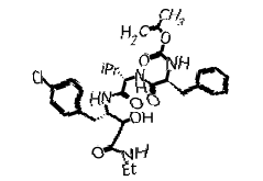 C=C(C)OC(=O)N[C@@H](Cc1ccccc1)C(=O)N[C@H](C(=O)N[C@@H](Cc1ccc(Cl)cc1)C(O)C(=O)NCC)C(C)C